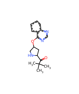 CC(C)(C)C(=O)C1CC(Oc2ncnc3ccccc23)CN1